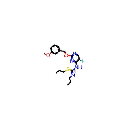 CCC/N=C(/Nc1nc(OCc2cccc(OC)c2)ncc1F)SCCC